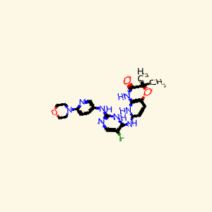 CC1(C)OC2=C(NC1=O)NC(NC1NC(Nc3ccc(N4CCOCC4)nc3)=NC=C1F)C=C2